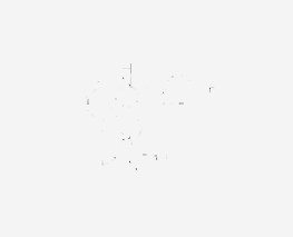 O=C1NC(=O)C(=C(Cc2cccc(F)c2)c2c[nH]c3ccccc23)S1